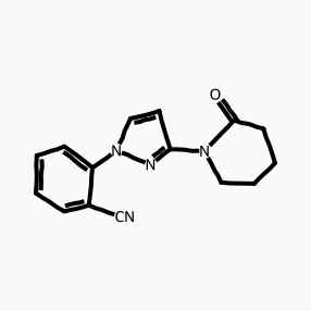 N#Cc1ccccc1-n1ccc(N2CCCCC2=O)n1